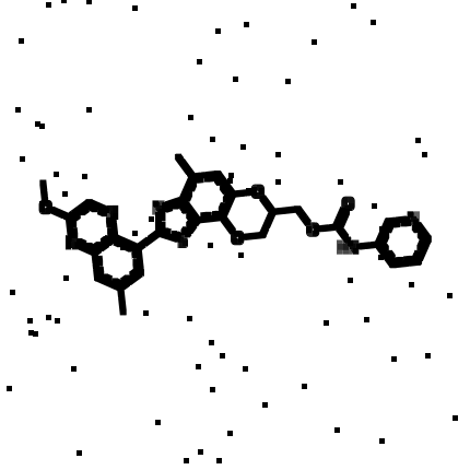 COc1cnc2c(-c3nc4c(C)cc5c(c4s3)OCC(COC(=O)Nc3cccnc3)O5)cc(C)cc2n1